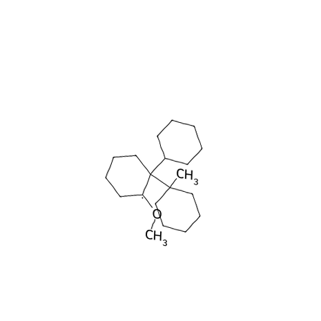 CO[C]1CCCCC1(C1CCCCC1)C1(C)CCCCC1